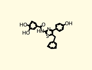 O=C(Nc1nc(-c2ccc(O)cc2)c(Cc2ccccc2)s1)c1ccc(O)c(O)c1